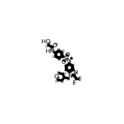 CN(c1ccc2c(c1)nc(C(F)F)n2CC1CCOCC1)S(=O)(=O)c1ccc(NC(=O)CO)cc1